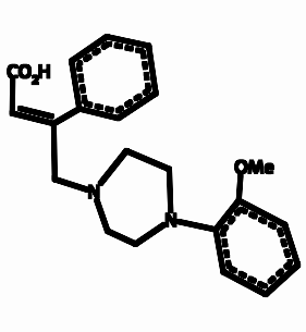 COc1ccccc1N1CCN(CC(=CC(=O)O)c2ccccc2)CC1